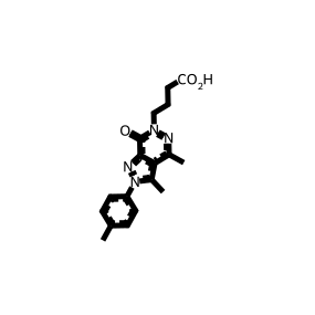 Cc1ccc(-n2nc3c(=O)n(CCCC(=O)O)nc(C)c3c2C)cc1